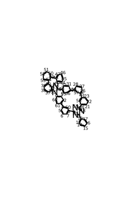 c1ccc(-c2cccc(-c3nc(-c4ccccc4)nc(-c4cccc(-c5cccc(-c6ccc(-c7nc8cccc9c8n7-c7ccccc7-c7ccccc7-9)cc6)c5)c4)n3)c2)cc1